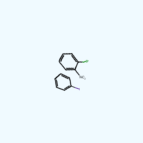 Ic1ccccc1.O=[N+]([O-])c1ccccc1Br